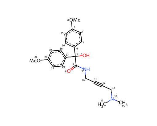 COc1ccc(C(O)(C(=O)NCC#CCN(C)C)c2ccc(OC)cc2)cc1